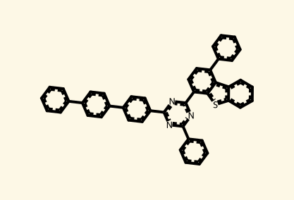 c1ccc(-c2ccc(-c3ccc(-c4nc(-c5ccccc5)nc(-c5ccc(-c6ccccc6)c6c5sc5ccccc56)n4)cc3)cc2)cc1